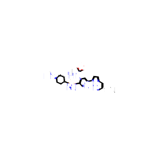 N#Cc1cnn2c(-c3cc(NC4COC4)c(-c4nnc(C5CCC(NC(=O)O)CC5)s4)cn3)ccc2c1